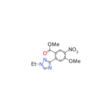 CCn1cnc(-c2cc(OC)c([N+](=O)[O-])cc2C(=O)OC)n1